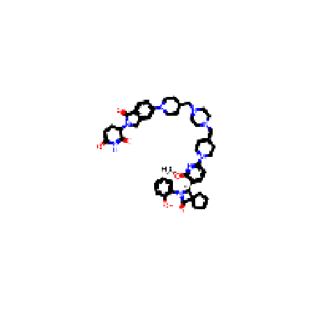 COc1nc(N2CCC(CN3CCN(CC4CCN(c5ccc6c(c5)CN(C5CCC(=O)NC5=O)C6=O)CC4)CC3)CC2)ccc1[C@@H]1N(c2ccccc2O)C(=O)C12CCCC2